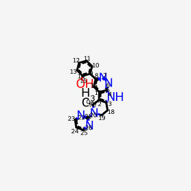 C[C@@H]1c2c([nH]c3nnc(-c4ccccc4O)cc23)CCN1c1ncccn1